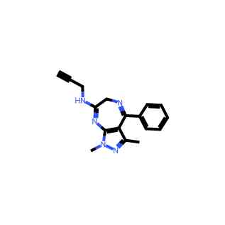 C#CCNC1=Nc2c(c(C)nn2C)C(c2ccccc2)=NC1